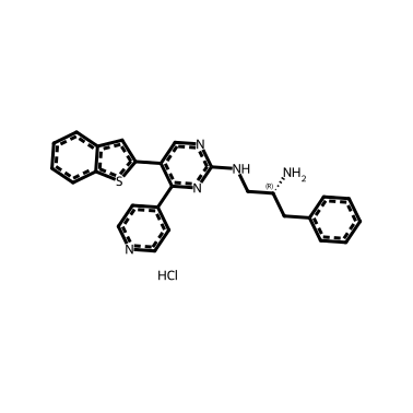 Cl.N[C@@H](CNc1ncc(-c2cc3ccccc3s2)c(-c2ccncc2)n1)Cc1ccccc1